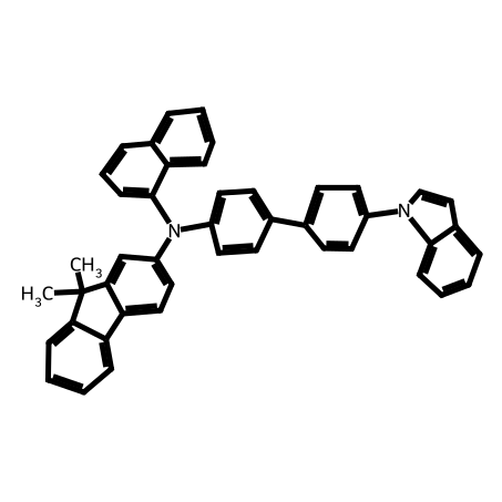 CC1(C)c2ccccc2-c2ccc(N(c3ccc(-c4ccc(-n5ccc6ccccc65)cc4)cc3)c3cccc4ccccc34)cc21